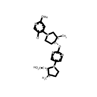 COc1cc(N2CC[C@@H](Oc3ncc(N4CC[C@@H](C)[C@@H]4CC(=O)O)cn3)[C@H](C)C2)c(Cl)cn1